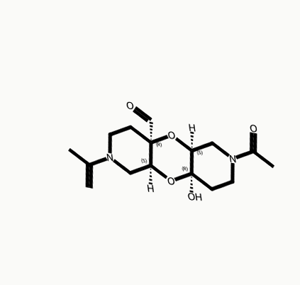 C=C(C)N1CC[C@@]2(C=O)O[C@H]3CN(C(C)=O)CC[C@@]3(O)O[C@H]2C1